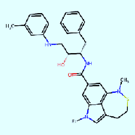 CCn1cc2c3c(cc(C(=O)N[C@@H](Cc4ccccc4)[C@H](O)CNc4cccc(C)c4)cc31)N(C)SCC2